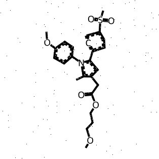 COCCCOC(=O)Cc1cc(-c2ccc(S(C)(=O)=O)cc2)n(-c2ccc(OC)cc2)c1C